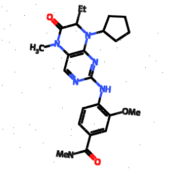 CCC1C(=O)N(C)c2cnc(Nc3ccc(C(=O)NC)cc3OC)nc2N1C1CCCC1